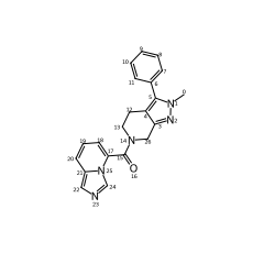 Cn1nc2c(c1-c1ccccc1)CCN(C(=O)c1cccc3cncn13)C2